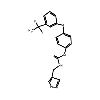 CC(F)(F)c1cccc(Sc2ccc(NC(=O)NCc3cn[nH]c3)cc2)c1